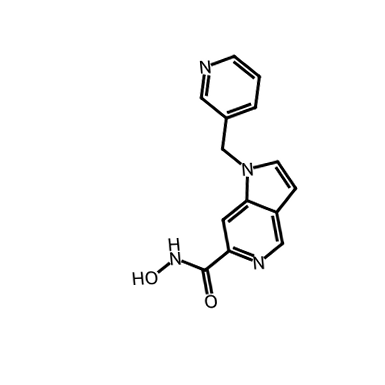 O=C(NO)c1cc2c(ccn2Cc2cccnc2)cn1